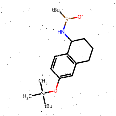 CC(C)(C)[S+]([O-])NC1CCCc2cc(O[Si](C)(C)C(C)(C)C)ccc21